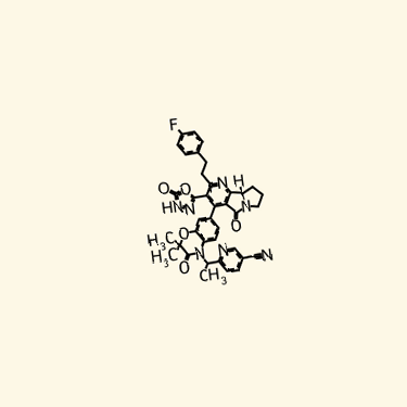 CC(c1ccc(C#N)cn1)N1C(=O)C(C)(C)Oc2cc(-c3c4c(nc(CCc5ccc(F)cc5)c3-c3n[nH]c(=O)o3)[C@@H]3CCCN3C4=O)ccc21